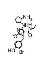 CCNC(=O)c1c(N[C@H]2CCC[C@H]2N)nc(OC)n1Cc1ccc(O)c(Br)c1